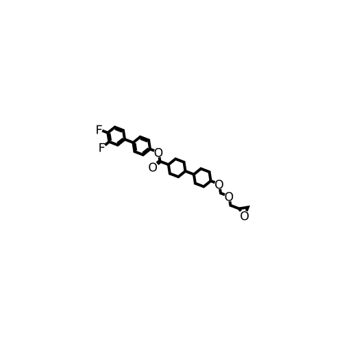 O=C(Oc1ccc(-c2ccc(F)c(F)c2)cc1)C1CCC(C2CCC(OCOCC3CO3)CC2)CC1